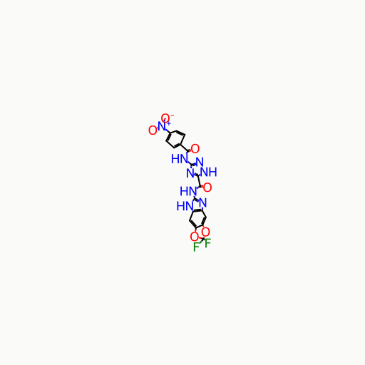 O=C(Nc1n[nH]c(C(=O)Nc2nc3cc4c(cc3[nH]2)OC(F)(F)O4)n1)c1ccc([N+](=O)[O-])cc1